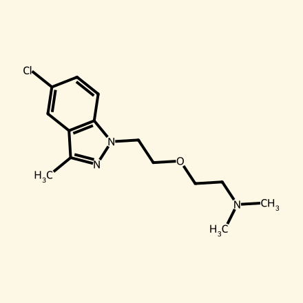 Cc1nn(CCOCCN(C)C)c2ccc(Cl)cc12